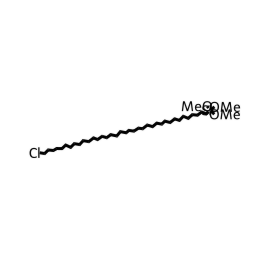 CO[Si](CCCCCCCCCCCCCCCCCCCCCCCCCCCCCCCCCCCCCCl)(OC)OC